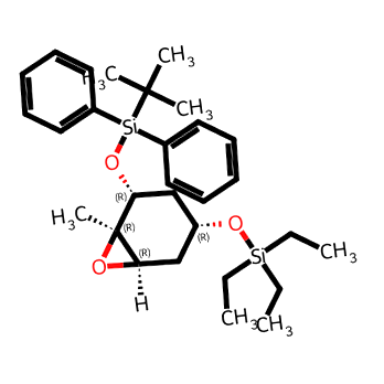 CC[Si](CC)(CC)O[C@@H]1C[C@H]2O[C@@]2(C)[C@H](O[Si](c2ccccc2)(c2ccccc2)C(C)(C)C)C1